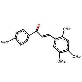 COc1ccc(C(=O)/C=C/c2cc(OC)c(OC)cc2OC)cc1